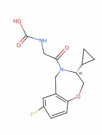 O=C(O)NCC(=O)N1Cc2cc(F)ccc2OC[C@H]1C1CC1